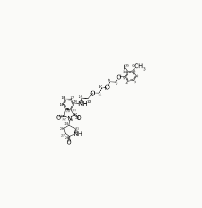 Cc1cccc(OCCOCCOCCNc2cccc3c2C(=O)N(C2CCC(=O)NC2)C3=O)c1I